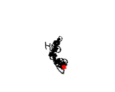 CCC(CC)(CCNC(=O)c1ccc(C=O)cc1)OCCC(CC)(CC)C(=O)ON1C(=O)CCC1=O